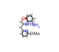 COc1cccc(CC(CO)Nc2ccccc2N)n1